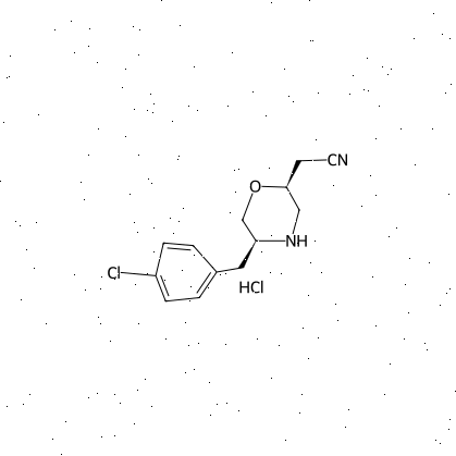 Cl.N#CC[C@H]1CN[C@@H](Cc2ccc(Cl)cc2)CO1